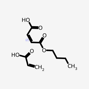 C=CC(=O)O.CCCCOC(=O)/C=C\C(=O)O